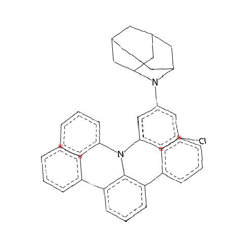 Clc1cc(N(c2ccccc2)c2c(-c3ccccc3)cccc2-c2ccccc2)cc(N2C3CC4CC(C3)CC2C4)c1